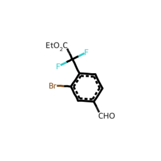 CCOC(=O)C(F)(F)c1ccc(C=O)cc1Br